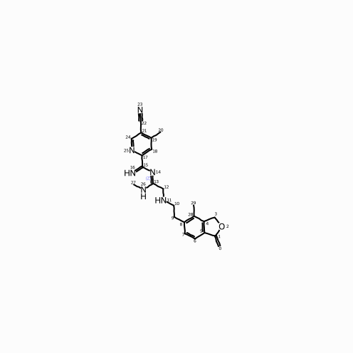 C=C1OCc2c1ccc(CCNC/C(=N/C(=N)c1cc(C)c(C#N)cn1)NC)c2C